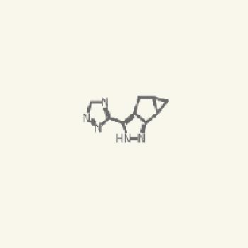 C1N=NC(c2[nH]nc3c2CC2CC32)=N1